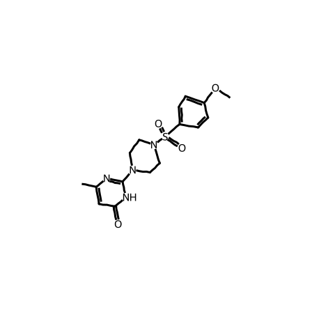 COc1ccc(S(=O)(=O)N2CCN(c3nc(C)cc(=O)[nH]3)CC2)cc1